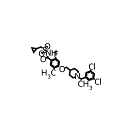 Cc1cc(C(=O)NS(=O)(=O)CC2CC2)c(F)cc1OCC1CCN([C@@H](C)c2cc(Cl)cc(Cl)c2)CC1